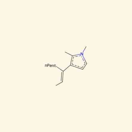 CC=C(CCCCC)c1ccn(C)c1C